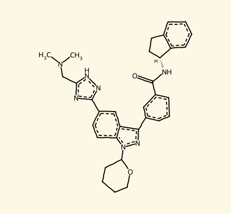 CN(C)Cc1nc(-c2ccc3c(c2)c(-c2cccc(C(=O)N[C@@H]4CCc5ccccc54)c2)nn3C2CCCCO2)n[nH]1